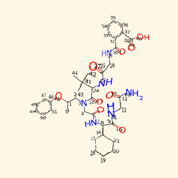 CC(CN(CC(=O)NC(C(=O)NCC(N)=O)C1CCCCC1)C(=O)C(NC(=O)CNC(=O)c1ccccc1C(=O)O)C(C)(C)C)Oc1ccccc1